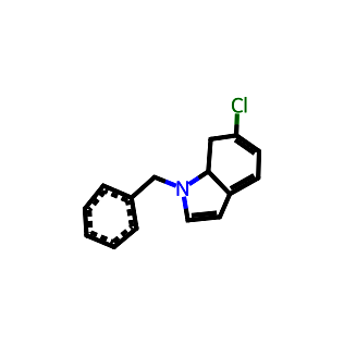 ClC1=CC=C2C=CN(Cc3ccccc3)C2C1